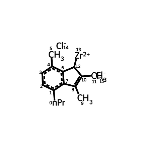 CCCc1ccc(C)c2c1C(C)=C(C)[CH]2[Zr+2].[Cl-].[Cl-]